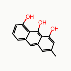 Cc1cc(O)c2c(O)c3c(O)cccc3cc2c1